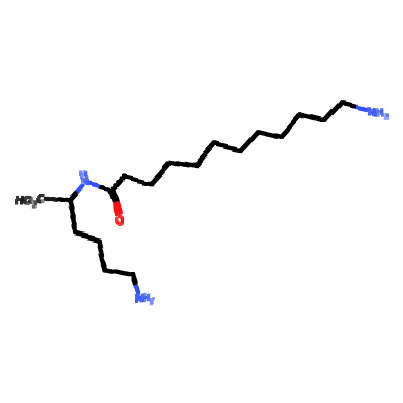 NCCCCCCCCCCCC(=O)NC(CCCCN)C(=O)O